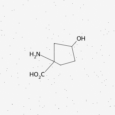 NC1(C(=O)O)CCC(O)C1